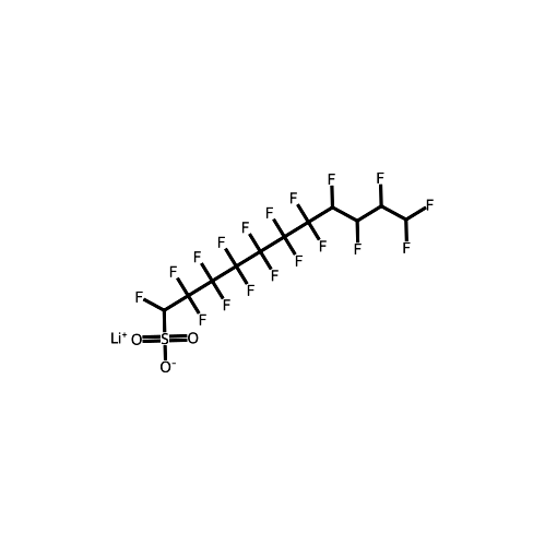 O=S(=O)([O-])C(F)C(F)(F)C(F)(F)C(F)(F)C(F)(F)C(F)(F)C(F)(F)C(F)C(F)C(F)C(F)F.[Li+]